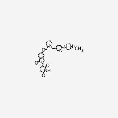 CCN1CCN(c2ccc(CN3CCCCC3COc3ccc4c(c3)CN(C3CCC(=O)NC3=O)C4=O)cn2)CC1